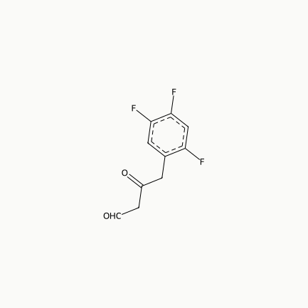 O=CCC(=O)Cc1cc(F)c(F)cc1F